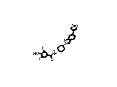 O=C(NC[C@H]1CC[C@H](n2cc3ccc(-c4cnoc4)cc3n2)CC1)c1cc(F)c(O)c(F)c1